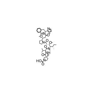 CC[C@H](C)[C@@H]([C@H](CC(=O)N1CCC[C@H]1[C@H](OC)[C@@H](C)C(=O)N[C@@H](Cc1ccccc1)c1nccs1)OC)N(C)C(=O)[C@@H](NC(=O)[C@@]1(F)CCN(C(=O)O)C1)C(C)C